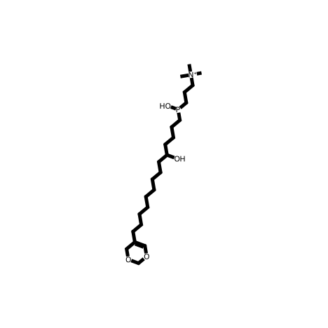 C[N+](C)(C)CCCP(O)CCCCC(O)CCCCCCCCCC1=COCOC1